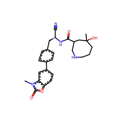 Cn1c(=O)oc2ccc(-c3ccc(C[C@@H](C#N)NC(=O)C4CNCCCC(C)(O)C4)cc3)cc21